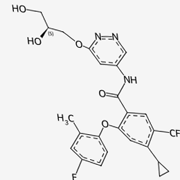 Cc1cc(F)ccc1Oc1cc(C2CC2)c(C(F)(F)F)cc1C(=O)Nc1cnnc(OC[C@@H](O)CO)c1